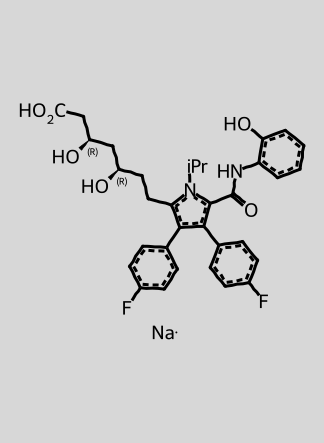 CC(C)n1c(CC[C@@H](O)C[C@@H](O)CC(=O)O)c(-c2ccc(F)cc2)c(-c2ccc(F)cc2)c1C(=O)Nc1ccccc1O.[Na]